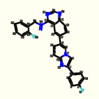 Fc1ccc(-c2cn3cc(-c4ccc5ncnc(NCc6ccccc6F)c5c4)ccc3n2)cc1